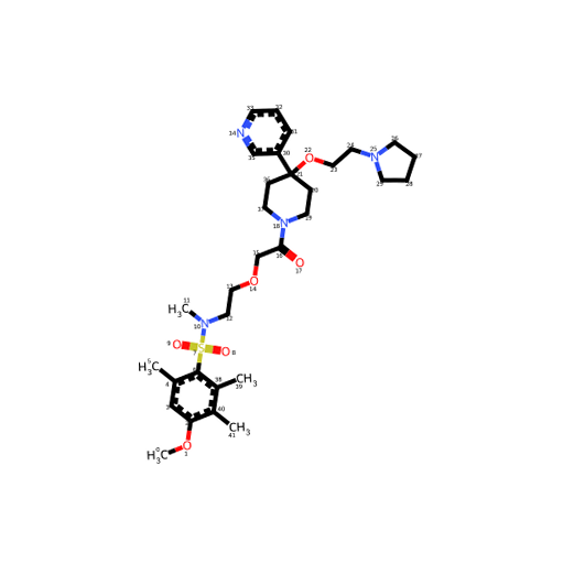 COc1cc(C)c(S(=O)(=O)N(C)CCOCC(=O)N2CCC(OCCN3CCCC3)(c3cccnc3)CC2)c(C)c1C